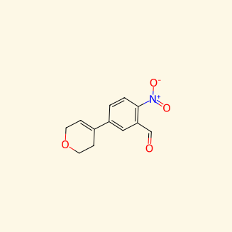 O=Cc1cc(C2=CCOCC2)ccc1[N+](=O)[O-]